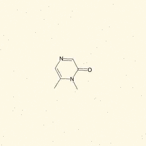 Cc1cncc(=O)n1C